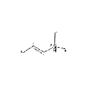 C/C=C/[SiH](C)C